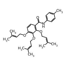 CC(C)=CCOc1ccc(C(=O)Nc2ccc(C)cc2)c(OCC=C(C)C)c1OCC=C(C)C